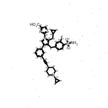 NS(=O)(=O)c1ccc(Cc2c(-c3cccc(C#CC4CCN(C5CC5)CC4)c3)cn(-c3nc(C(=O)O)cs3)c2CC2CC2)cc1F